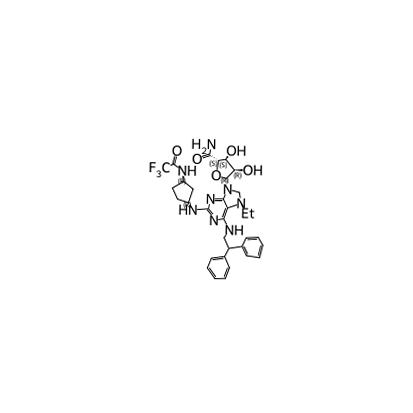 CCN1CN([C@@H]2O[C@H](C(N)=O)[C@@H](O)[C@H]2O)c2nc(N[C@@H]3CC[C@@H](NC(=O)C(F)(F)F)C3)nc(NCC(c3ccccc3)c3ccccc3)c21